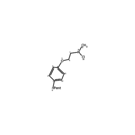 CCCCCc1ccc(OCCN(C)Cl)cc1